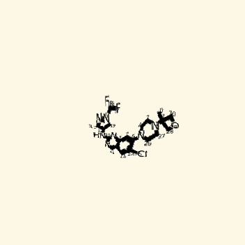 CC1(N2CCN(c3cc4nc(Nc5cnn(C(F)F)c5)ncc4cc3Cl)CC2)COC1